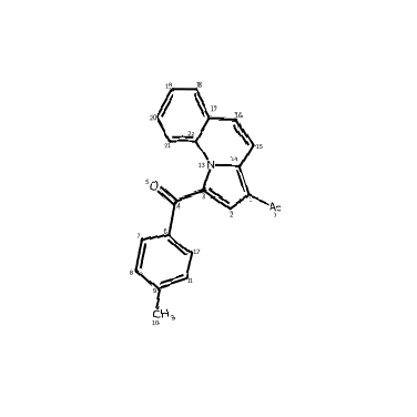 CC(=O)c1cc(C(=O)c2ccc(C)cc2)n2c1ccc1ccccc12